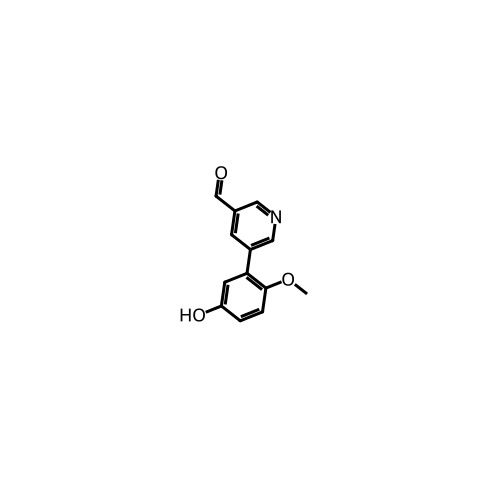 COc1ccc(O)cc1-c1cncc(C=O)c1